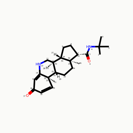 CC(C)(C)NC(=O)[C@H]1CC[C@H]2[C@@H]3CNC4=CC(=O)C=C[C@]4(C)[C@H]3CC[C@]12C